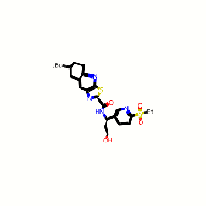 CCS(=O)(=O)c1ccc([C@@H](CCO)NC(=O)c2nc3cc4c(nc3s2)CCC(C(C)(C)C)C4)cn1